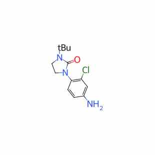 CC(C)(C)N1CCN(c2ccc(N)cc2Cl)C1=O